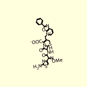 CON=C(C(=O)NC1C(=O)N2C(C(=O)[O-])=C(C[n+]3cccc4nc(-c5ccccc5)oc43)CS[C@@H]12)c1csc(N)n1